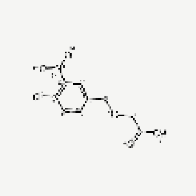 O=C(O)COCc1ccc(Cl)c([N+](=O)[O-])c1